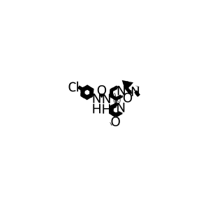 COc1ccc([C@@H]2CN(C3(C(=O)N(C)C)CC3)CC[C@H]2NC(=O)Nc2ccc(Cl)cc2)nc1